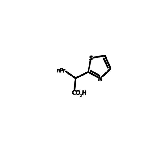 CCCC(C(=O)O)c1nccs1